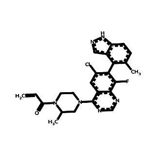 C=CC(=O)N1CCN(c2ncnc3c(F)c(-c4c(C)ccc5[nH]ncc45)c(Cl)cc23)CC1C